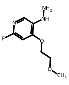 COCCOc1cc(F)ncc1NN